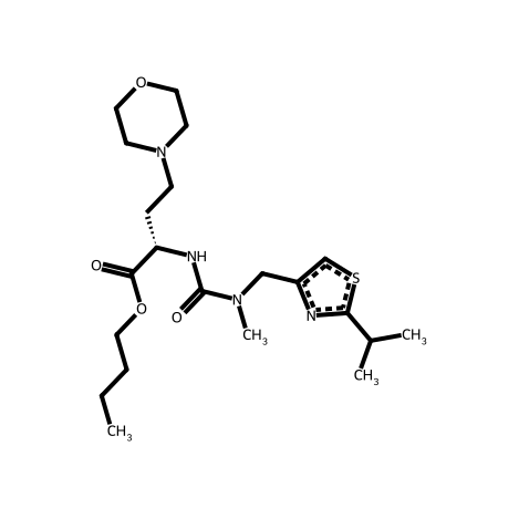 CCCCOC(=O)[C@H](CCN1CCOCC1)NC(=O)N(C)Cc1csc(C(C)C)n1